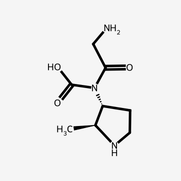 C[C@@H]1NCC[C@H]1N(C(=O)O)C(=O)CN